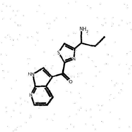 CCC(N)c1csc(C(=O)c2c[nH]c3ncccc23)n1